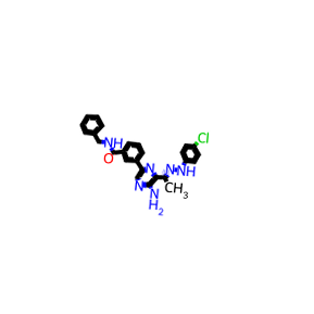 C/C(=N\Nc1ccc(Cl)cc1)c1nc(-c2cccc(C(=O)NCc3ccccc3)c2)cnc1N